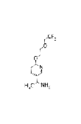 CC(N)C1=CCC(OCCOCC(F)(F)F)N=C1